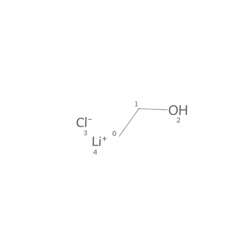 CCO.[Cl-].[Li+]